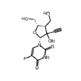 C#CC1(O)C(CO)[C@@H](CO)O[C@H]1n1cc(F)c(=O)[nH]c1=O